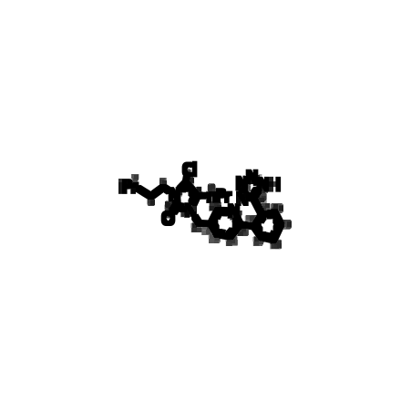 CCCc1c(Cl)n(CCC(C)C)c(=O)n1Cc1ccc(-c2ccccc2-c2nnn[nH]2)nc1